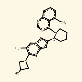 Cc1cn2nc([C@@H]3CCCCN3c3ncnc4cccc(C)c34)cc2nc1N1CC(O)C1